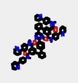 CN(C(=O)c1cc(C(=O)N(C)c2ccc(-c3ccccn3)cc2)cc(-c2ccccc2-c2ccc(-c3ncc(-c4ccccc4-c4cc(C(=O)N(C)c5ccc(-c6ccccn6)cc5)cc(C(=O)N(C)c5ccc(-c6ccccn6)cc5)c4)cn3)cc2)c1)c1ccc(-c2ccccn2)cc1